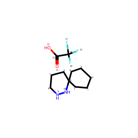 C1CCC2(CC1)CCCNN2.O=C(O)C(F)(F)F